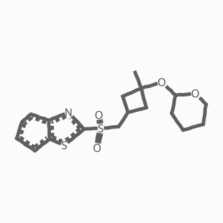 CC1(OC2CCCCO2)CC(CS(=O)(=O)c2nc3ccccc3s2)C1